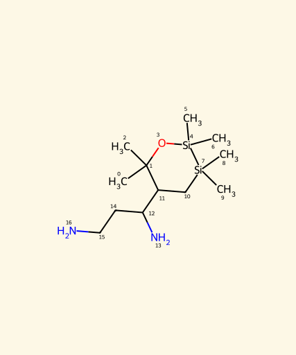 CC1(C)O[Si](C)(C)[Si](C)(C)CC1C(N)CCN